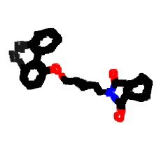 CCc1ccccc1-c1c(CC)cccc1OCCCCCN1C(=O)c2ccccc2C1=O